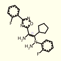 N/C(=C(/C1CCCC1)N(N)c1ccccc1F)c1nc(-c2ccccc2F)no1